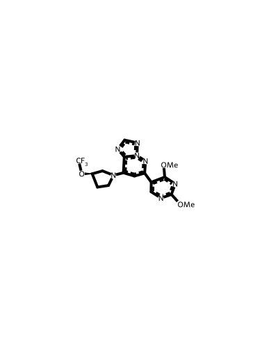 COc1ncc(-c2cc(N3CC[C@@H](OC(F)(F)F)C3)c3ncnn3n2)c(OC)n1